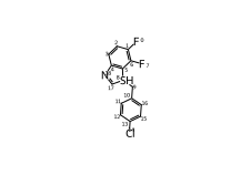 Fc1ccc2c(c1F)[SH](Cc1ccc(Cl)cc1)C=N2